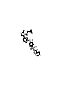 Cc1ncc(-c2ccnc(Nc3ccc(S(=O)(=O)NCC4CCCO4)cc3)n2)n1CCC1CC1